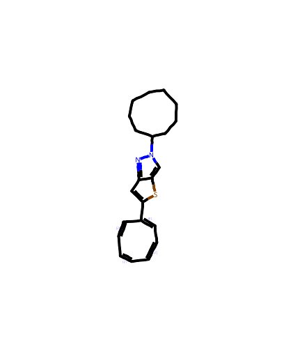 C1=C\C=C/C(c2cc3nn(C4CCCCCCCC4)cc3s2)=C\C=C/1